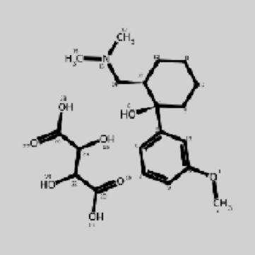 COc1cccc([C@@]2(O)CCCC[C@@H]2CN(C)C)c1.O=C(O)C(O)C(O)C(=O)O